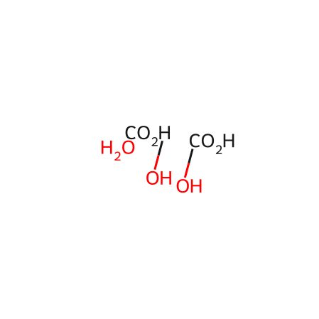 O.O=C(O)O.O=C(O)O